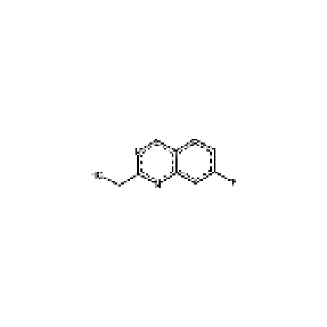 OCc1ncc2ccc(F)cc2n1